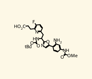 COC(=O)Nc1ccc(-c2cnc(C(Cc3ccc(F)c(CCC(=O)O)n3)NC(=O)OC(C)(C)C)o2)c(N)c1